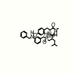 CNC(=O)C(Cc1ccc(OC)cc1)NC(=O)C(CC(C)C)CP(=O)(O)Cc1cccc(NCc2ccccc2)c1